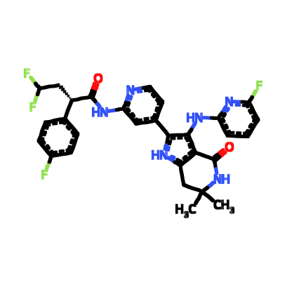 CC1(C)Cc2[nH]c(-c3ccnc(NC(=O)[C@@H](CC(F)F)c4ccc(F)cc4)c3)c(Nc3cccc(F)n3)c2C(=O)N1